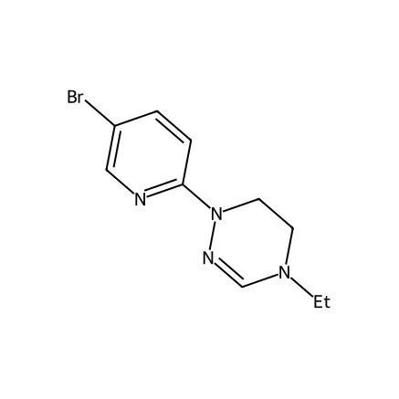 CCN1C=NN(c2ccc(Br)cn2)CC1